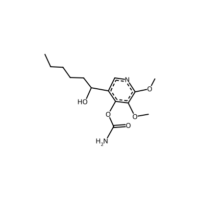 CCCCCC(O)c1cnc(OC)c(OC)c1OC(N)=O